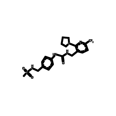 CS(=O)(=O)NCc1ccc(NC(=O)NCc2ccc(C(F)(F)F)nc2N2CCCC2)cc1